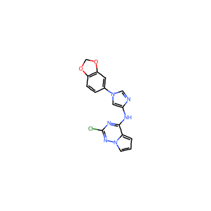 Clc1nc(Nc2cn(-c3ccc4c(c3)OCO4)cn2)c2cccn2n1